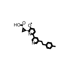 COc1ccc(-c2cncc(CCc3ccc(C)cc3)c2)nc1[C@H]1C[C@@H]1C(=O)O